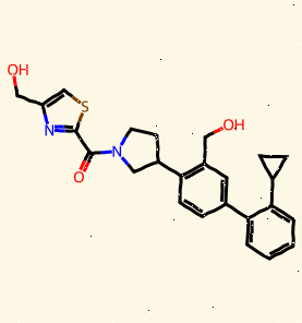 O=C(c1nc(CO)cs1)N1CCC(c2ccc(-c3ccccc3C3CC3)cc2CO)C1